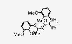 COc1cccc([SiH2]C(SSC([SiH2]c2cccc(OC)c2OC)C(C)C)C(C)C)c1OC